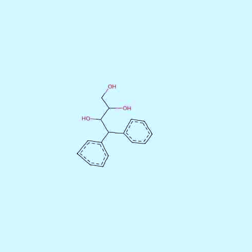 OCC(O)C(O)C(c1ccccc1)c1ccccc1